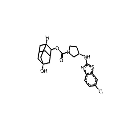 O=C(OC1C2CC3C[C@H]1C[C@@](O)(C3)C2)N1CC[C@@H](Nc2nc3ccc(Cl)cc3s2)C1